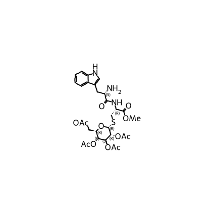 COC(=O)[C@H](CS[C@H]1O[C@H](COC(C)=O)[C@@H](OC(C)=O)[C@H](OC(C)=O)[C@H]1OC(C)=O)NC(=O)[C@@H](N)Cc1c[nH]c2ccccc12